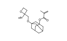 C=C(C)C(=O)OC12CC3CC(CC(OCC4(CCC)CCO4)(C3)C1)C2